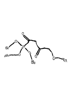 CCOCC(=O)C[C](=O)[Zr]([O]C(C)(C)C)([O]C(C)(C)C)[O]C(C)(C)C